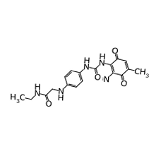 CCNC(=O)CNc1ccc(NC(=O)NC2=C([N])C(=O)C(C)=CC2=O)cc1